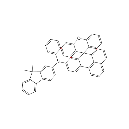 CC1(C)c2ccccc2-c2ccc(N(c3ccccc3)c3ccc4c(c3)C3(c5ccccc5Oc5ccccc53)c3cccc5cccc-4c35)cc21